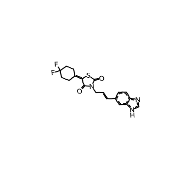 O=C1SC(=C2CCC(F)(F)CC2)C(=O)N1CC=Cc1ccc2nc[nH]c2c1